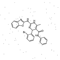 CC1=C(C(=O)Nc2ccccc2)C(c2ccccc2Br)N=C(Nc2nc3ccccc3o2)N1